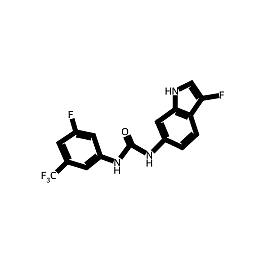 O=C(Nc1cc(F)cc(C(F)(F)F)c1)Nc1ccc2c(F)c[nH]c2c1